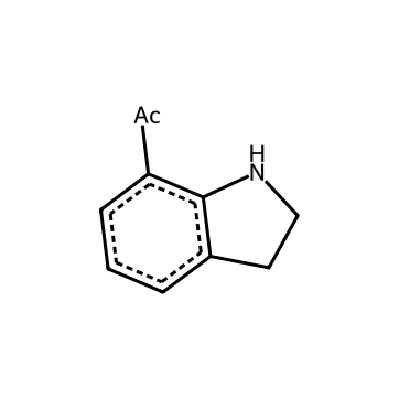 CC(=O)c1cccc2c1NCC2